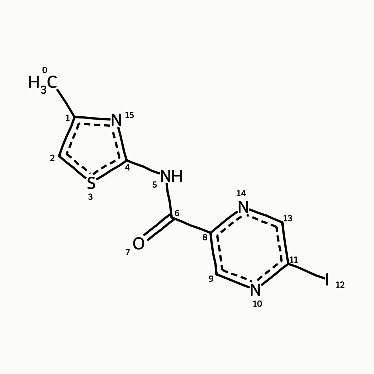 Cc1csc(NC(=O)c2cnc(I)cn2)n1